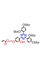 C=CC(=O)OCCOc1ccc(-c2nc(-c3ccc(OC)cc3OC)nc(-c3ccc(OC)cc3OC)n2)c(O)c1